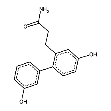 NC(=O)CCc1cc(O)ccc1-c1cccc(O)c1